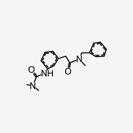 CN(C)C(=O)Nc1cccc(CC(=O)N(C)Cc2ccccc2)c1